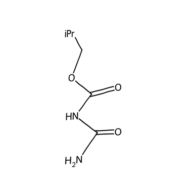 CC(C)COC(=O)NC(N)=O